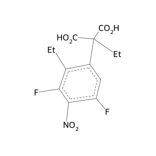 CCc1c(C(CC)(C(=O)O)C(=O)O)cc(F)c([N+](=O)[O-])c1F